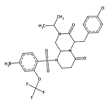 Bc1ccc(S(=O)(=O)N2CCC(=O)N3C(Cc4ccc(Cl)cc4)C(=O)N(C(C)C)CC32)c(OC(F)(F)F)c1